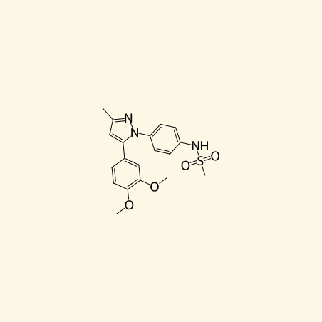 COc1ccc(-c2cc(C)nn2-c2ccc(NS(C)(=O)=O)cc2)cc1OC